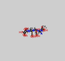 COc1cc(S(=O)(=O)O)c2nc3c(C#N)c(C)c(N=Nc4cc(C)c(N=Nc5cc(C)c(N=Nc6nc7c(S(=O)(=O)O)cc8c(CO)cc(S(=O)(=O)O)cc8c7s6)cc5SCCCS(=O)(=O)O)cc4OCCCS(=O)(=O)O)c(O)n3c2c1